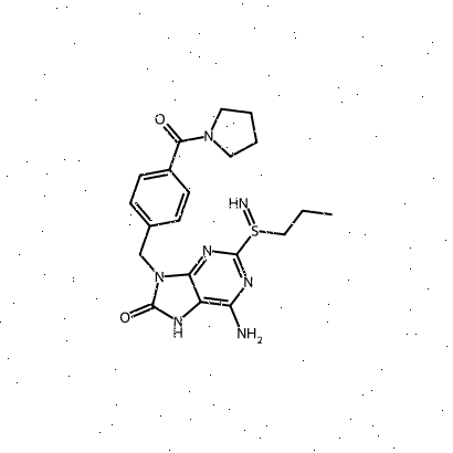 CCCS(=N)c1nc(N)c2[nH]c(=O)n(Cc3ccc(C(=O)N4CCCC4)cc3)c2n1